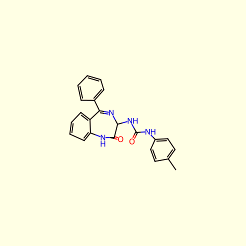 Cc1ccc(NC(=O)NC2N=C(c3ccccc3)c3ccccc3NC2=O)cc1